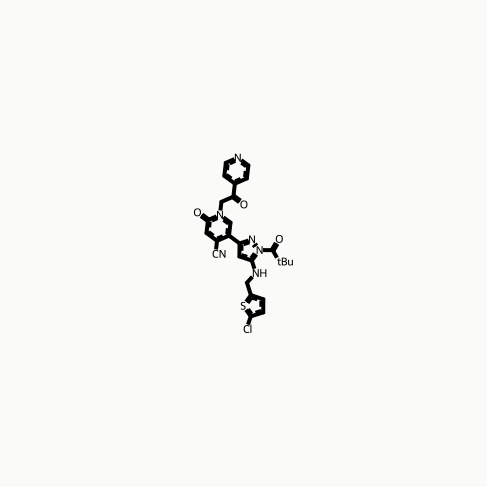 CC(C)(C)C(=O)n1nc(-c2cn(CC(=O)c3ccncc3)c(=O)cc2C#N)cc1NCc1ccc(Cl)s1